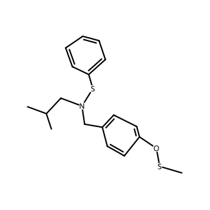 CSOc1ccc(CN(CC(C)C)Sc2ccccc2)cc1